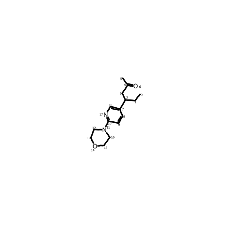 CCC(CC(C)=O)c1ccc(N2CCOCC2)nc1